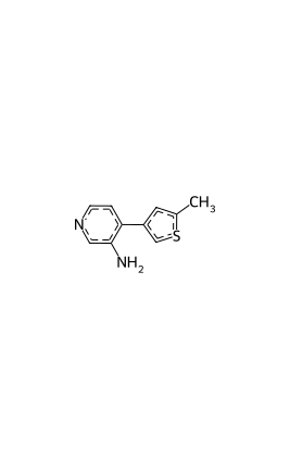 Cc1cc(-c2ccncc2N)cs1